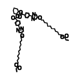 C=CC(=O)OCCCCCCCCCCCCOc1cnc(-c2ccc(C(=O)O[C@@H]3CCCC[C@H]3OC(=O)c3ccc(-c4ncc(OCCCCCCCCCCCCOC(=O)C=C)cn4)cc3)cc2)nc1